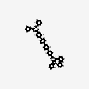 c1ccc(-c2nc(-c3ccccc3)nc(-c3ccc(-c4ccc(-c5ccc(-c6ccc(-c7nc(-c8ccccc8)c8c(n7)c7ccccc7n8-c7ccccc7)cc6)cc5)cc4)cc3)n2)cc1